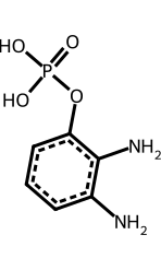 Nc1cccc(OP(=O)(O)O)c1N